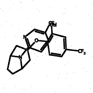 Oc1cc(C(F)(F)F)ccc1OC1CC2CCC(C1)N2c1ccc(C(F)(F)F)cn1